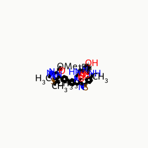 COC(=O)C[C@@H]1N=C(c2ccc(-c3ccc4c(c3)N(CC(=O)N[C@H](C(=O)N3C[C@H](O)C[C@H]3C(=O)N[C@@H](C)c3ccc(-c5scnc5C)cc3)C(C)(C)C)C(=O)CC4)cc2)c2c(sc(C)c2C)-n2c(C)nnc21